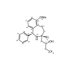 CC[C@]1(CC(O)CC(F)(F)F)CSc2c(OC)cccc2[C@H](c2ccccc2)N1